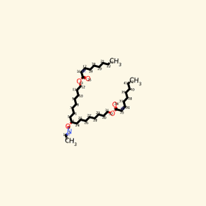 C/C=N/OC(CCCCCCCCOC(=O)/C=C\CCCCCC)CCCCCCCCOC(=O)/C=C\CCCCCC